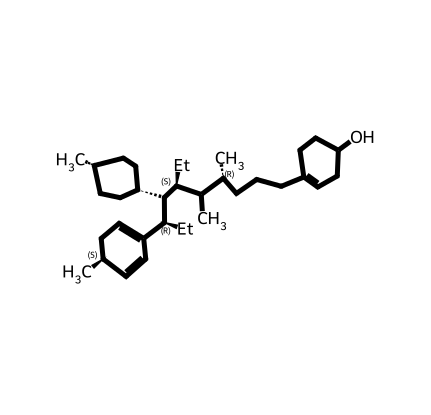 CC[C@@H](C1=CC[C@H](C)C=C1)C([C@H]1CC[C@@H](C)CC1)[C@@H](CC)C(C)[C@H](C)CCCC1=CCC(O)CC1